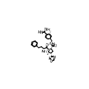 N=C(N)c1ccc(CNC(=O)[C@@H]2C[C@H](c3ncon3)CN2C(=O)[C@H](N)CCc2ccccc2)cc1